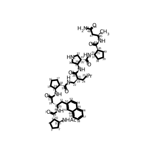 CC(=O)N[C@H]1CCC[C@@H]1C(=O)N[C@H](CC(=O)N[C@H]1CCC[C@@H]1C(=O)NC[C@H](CC(C)C)C(=O)N[C@H]1CNC[C@@H]1C(=O)N[C@H]1CCC[C@@H]1C(=O)N[C@@H](C)CC(N)=O)Cc1ccc2ccccc2c1